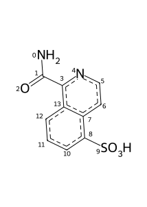 NC(=O)c1nccc2c(S(=O)(=O)O)cccc12